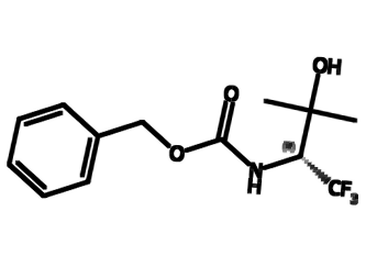 CC(C)(O)[C@@H](NC(=O)OCc1ccccc1)C(F)(F)F